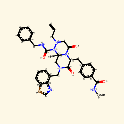 C=CCN1CC(=O)N2[C@@H](Cc3ccc(C(=O)NOC)cc3)C(=O)N(Cc3cccc4scnc34)C[C@@H]2N1C(=O)NCc1ccccc1